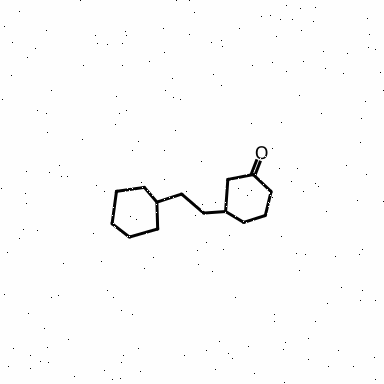 O=C1CCCC(CCC2CCCCC2)C1